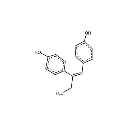 CCC(=Cc1ccc(O)cc1)c1ccc(O)cc1